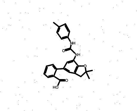 Cc1ccc(NC(=O)Nc2cc(-c3ccccc3C(=O)O)cc3c2OC(C)(C)C3)cc1